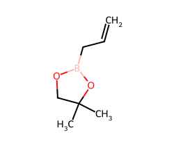 C=CCB1OCC(C)(C)O1